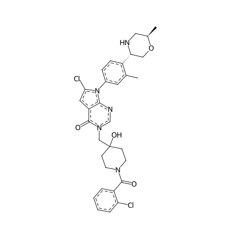 Cc1cc(-n2c(Cl)cc3c(=O)n(CC4(O)CCN(C(=O)c5ccccc5Cl)CC4)cnc32)ccc1[C@H]1CO[C@H](C)CN1